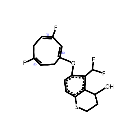 OC1CCSc2ccc(O/C3=C/C(F)=C\C/C(F)=C\C3)c(C(F)F)c21